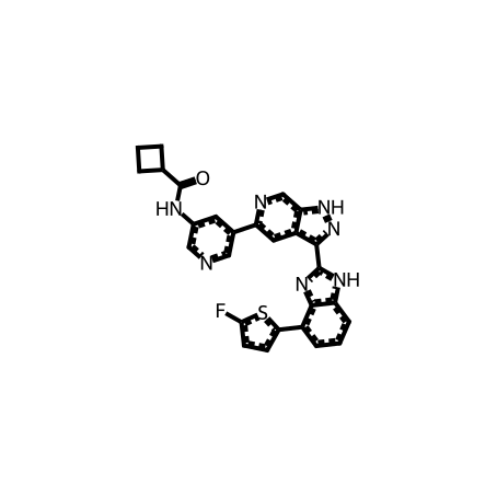 O=C(Nc1cncc(-c2cc3c(-c4nc5c(-c6ccc(F)s6)cccc5[nH]4)n[nH]c3cn2)c1)C1CCC1